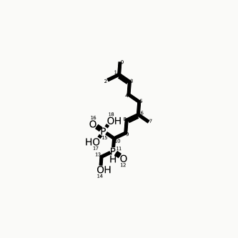 CC(C)=CCCC(C)=CCC([PH](=O)CO)P(=O)(O)O